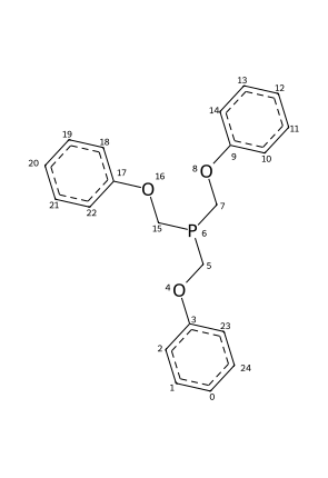 c1ccc(OCP(COc2ccccc2)COc2ccccc2)cc1